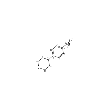 [Cl][Mg][c]1ccc(C2CCCCC2)cc1